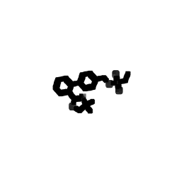 CCS(=O)(=O)OCc1ccc(-c2ccccc2C2=NC(C)(C)CO2)cc1